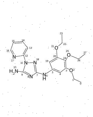 CCOc1cc(Nc2nc(N)n(-c3ccccn3)n2)cc(OCC)c1OCC